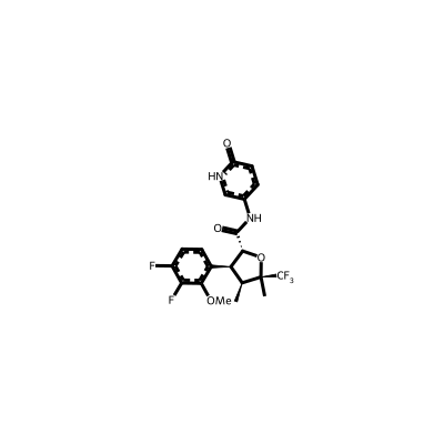 COc1c([C@H]2[C@H](C(=O)Nc3ccc(=O)[nH]c3)O[C@@](C)(C(F)(F)F)[C@H]2C)ccc(F)c1F